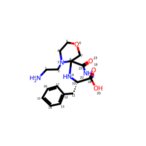 NCCN1CCOCC1(N[C@@H](Cc1ccccc1)C(=O)O)C(N)=O